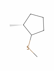 CSC1CCC[C@H]1C